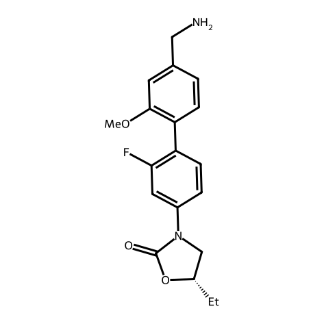 CC[C@H]1CN(c2ccc(-c3ccc(CN)cc3OC)c(F)c2)C(=O)O1